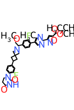 COCC(c1ccc(-c2cnc(-c3cc(C(=O)OC(C)(C)C)on3)nc2C)c(F)c1)N1CC2(CC(c3ccc(N4CCC(=O)NC4=O)c(F)c3)C2)C1